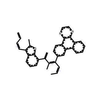 C=C/C=C\c1c(C)sc2c(C(=C)/C(C)=C(/C=C\C)c3ccc4c(c3)c3ccccc3c3nccnc43)cccc12